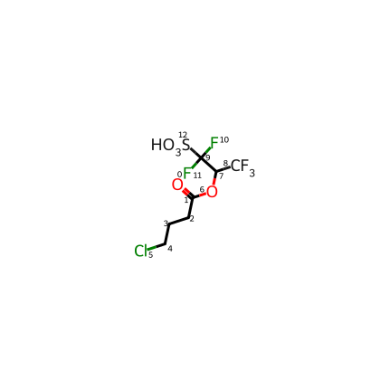 O=C(CCCCl)OC(C(F)(F)F)C(F)(F)S(=O)(=O)O